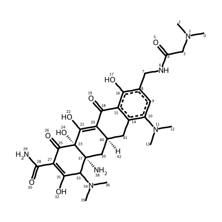 CN(C)CC(=O)NCc1cc(N(C)C)c2c(c1O)C(=O)C1=C(O)[C@]3(O)C(=O)C(C(N)=O)=C(O)C(N(C)C)[C@]3(N)C[C@@H]1C2